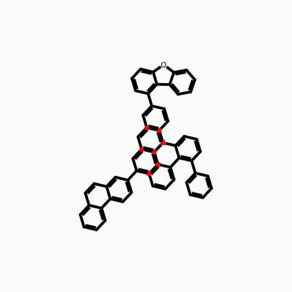 c1ccc(-c2ccccc2-c2c(-c3ccccc3)cccc2N(c2ccc(-c3ccc4c(ccc5ccccc54)c3)cc2)c2ccc(-c3cccc4oc5ccccc5c34)cc2)cc1